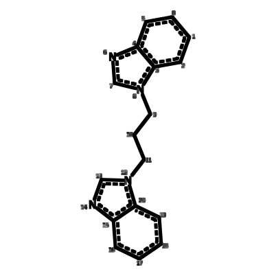 c1ccc2c(c1)ncn2CCCn1cnc2ccccc21